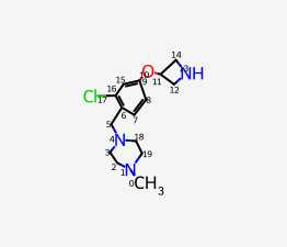 CN1CCN(Cc2ccc(OC3CNC3)cc2Cl)CC1